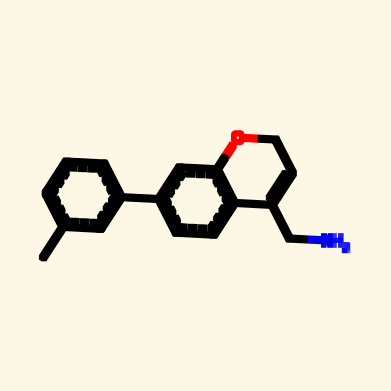 Cc1cccc(-c2ccc3c(c2)OCC=C3CN)c1